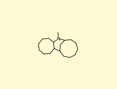 CN1C2CCCCCCC(C2)C2CCCCCCC21